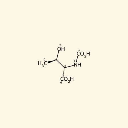 C[C@@H](O)[C@H](NC(=O)O)C(=O)O